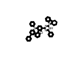 C1=Cc2c(c3ccccc3n2C2N=C(c3ccc(N(c4ccccc4)c4ccc(-c5ccccc5)cc4)c4c3oc3ccccc34)N=C(c3ccccc3)N2)CC1